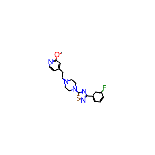 COc1cc(CCN2CCN(c3nc(-c4cccc(F)c4)ns3)CC2)ccn1